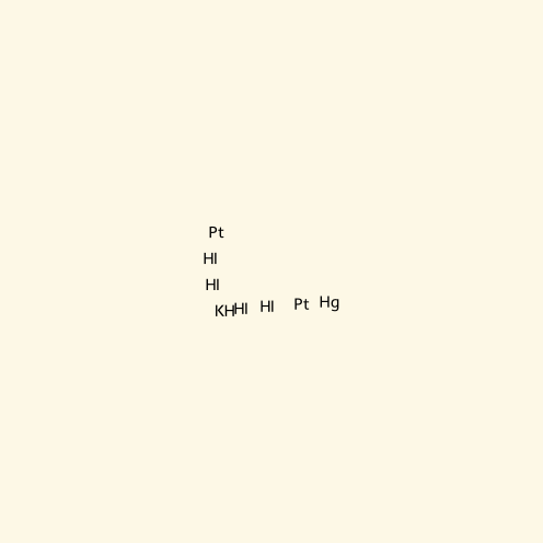 I.I.I.I.[Hg].[KH].[Pt].[Pt]